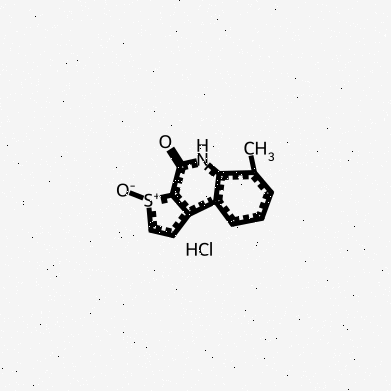 Cc1cccc2c1[nH]c(=O)c1c2cc[s+]1[O-].Cl